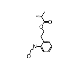 C=C(C)C(=O)OCCc1ccccc1N=C=O